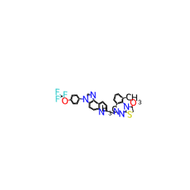 Cc1cccc(C)c1N1C(=O)CS/C1=N/N=C/c1ccc2c(ccc3c2ncn3-c2ccc(OC(F)(F)F)cc2)n1